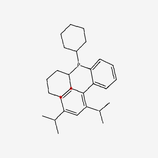 CC(C)c1ccc(-c2ccccc2P(C2CCCCC2)C2CCCCC2)c(C(C)C)c1